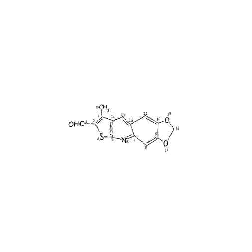 Cc1c(C=O)sc2nc3cc4c(cc3cc12)OCO4